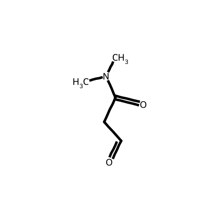 CN(C)C(=O)CC=O